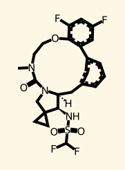 CN1CCOc2c(F)cc(F)cc2-c2cccc(c2)C[C@H]2[C@@H](NS(=O)(=O)C(F)F)C3(CC3)CN2C1=O